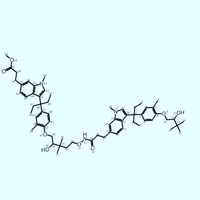 CCC(CC)(c1ccc(OCC(O)C(C)(C)C)c(C)c1)c1cn(C)c2cc(CCC(=O)NOCCC(C)(C)C(O)COc3ccc(C(CC)(CC)c4cn(C)c5cc(CCC(=O)OC)ccc45)cc3C)ccc12